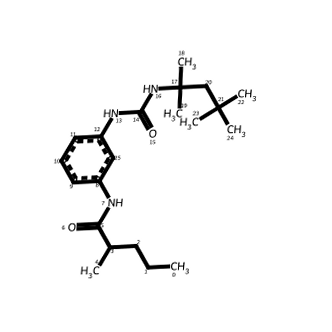 CCCC(C)C(=O)Nc1cccc(NC(=O)NC(C)(C)CC(C)(C)C)c1